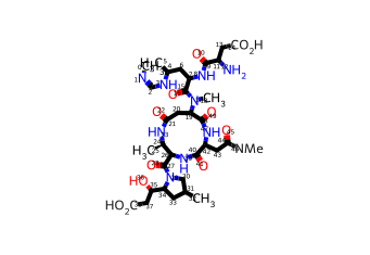 C/N=C\NC(C)CC(NC(=O)C(N)CC(=O)O)C(=O)N(C)C1CC(=O)N[C@H](C)C(C(=O)N2CC(C)CC2C(O)CC(=O)O)NC(=O)C(CC(=O)NC)NC1=O